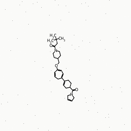 CC(C)(C)CC(=O)N1CCC(COC2=CC=C(C3=CCC(C(=O)N4CC=CC4)CC3)CC=C2)CC1